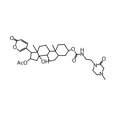 CC(=O)OC1CC2(O)C3CCC4CC(OC(=O)NCCN5CCN(C)CC5=O)CCC4(C)C3CCC2(C)C1c1ccc(=O)oc1